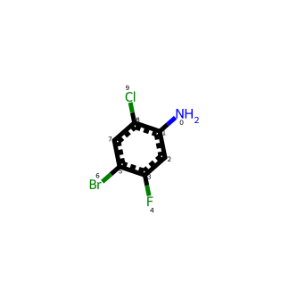 Nc1cc(F)c(Br)cc1Cl